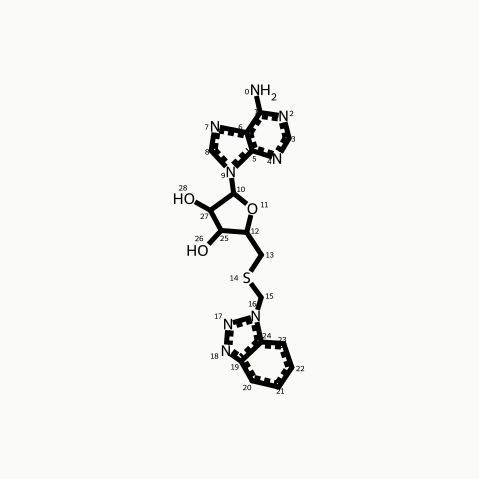 Nc1ncnc2c1ncn2C1OC(CSCn2nnc3ccccc32)C(O)C1O